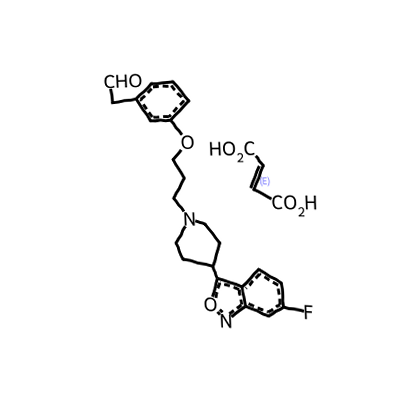 O=C(O)/C=C/C(=O)O.O=CCc1cccc(OCCCN2CCC(c3onc4cc(F)ccc34)CC2)c1